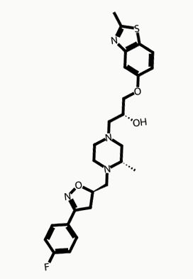 Cc1nc2cc(OC[C@H](O)CN3CCN(C[C@H]4CC(c5ccc(F)cc5)=NO4)[C@@H](C)C3)ccc2s1